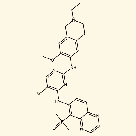 CCN1CCc2cc(Nc3ncc(Br)c(Nc4ccc5nccnc5c4P(C)(C)=O)n3)c(OC)cc2C1